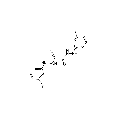 O=C(NNc1cccc(F)c1)C(=O)NNc1cccc(F)c1